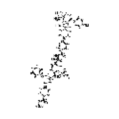 CC1(C)CCC(c2ccc(Cl)cc2)=C(CC2(CO)CCN(c3ccc(C(=O)NS(=O)(=O)c4ccc(N[C@H](CCN5CCN(C(=O)OC(C)(C)C)CC5)CSc5ccccc5)c(S(=O)(=O)C(F)(F)F)c4)cc3)CC2)C1